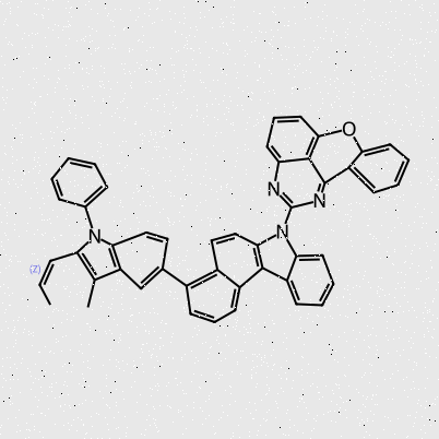 C/C=C\c1c(C)c2cc(-c3cccc4c3ccc3c4c4ccccc4n3-c3nc4c5c(cccc5n3)Oc3ccccc3-4)ccc2n1-c1ccccc1